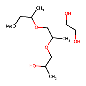 COCC(C)OCC(C)OCC(C)O.OCCO